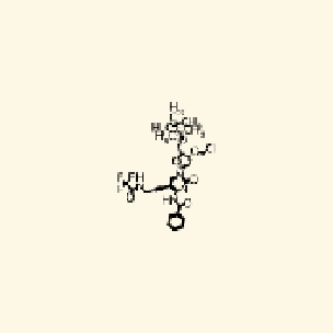 CC(C)(C)[Si](C)(C)OC[C@H]1O[C@@H](n2cc(C#CCNC(=O)C(F)(F)F)c(NC(=O)c3ccccc3)nc2=O)C[C@H]1OCCl